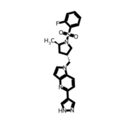 C[C@@H]1C[C@@H](Cn2ccc3nc(-c4cn[nH]c4)ccc32)CN1S(=O)(=O)c1ccccc1F